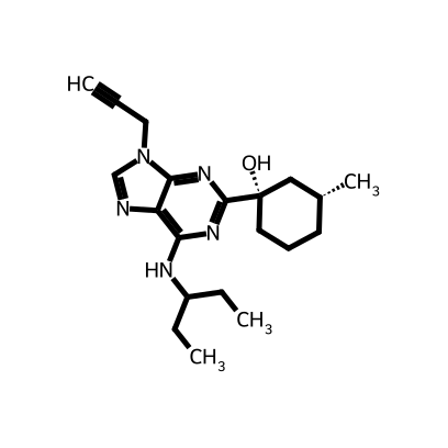 C#CCn1cnc2c(NC(CC)CC)nc([C@]3(O)CCC[C@@H](C)C3)nc21